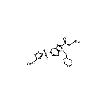 CC(C)(C)CC(=O)c1nc2cc(S(=O)(=O)n3cc(C=O)cn3)ccc2n1CC1CCOCC1